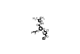 Cc1cc(NC(=O)c2cc(OCC(F)CF)cc(Oc3ncc(C(=O)N4CCC4)cc3Cl)c2)nn1C